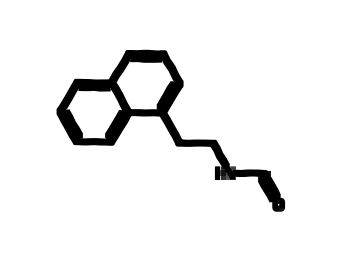 O=[C]NCCc1cccc2ccccc12